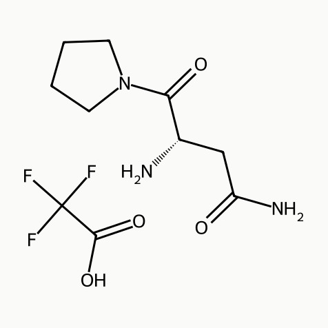 NC(=O)C[C@H](N)C(=O)N1CCCC1.O=C(O)C(F)(F)F